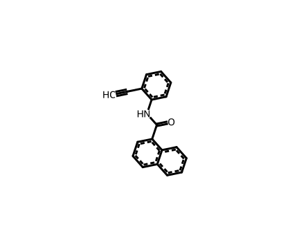 C#Cc1ccccc1NC(=O)c1cccc2ccccc12